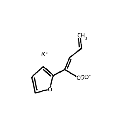 C=CC=C(C(=O)[O-])c1ccco1.[K+]